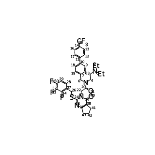 CCN(CC)CCN(Cc1ccc(-c2ccc(C(F)(F)F)cc2)cc1)C(=O)Cn1c(SCc2ccc(F)c(F)c2F)nc2c(c1=O)CCC2